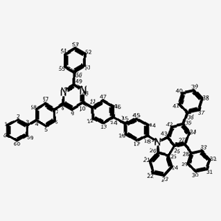 c1ccc(-c2ccc(-c3cc(-c4ccc(-c5ccc(-n6c7ccccc7c7c(-c8ccccc8)cc(-c8ccccc8)cc76)cc5)cc4)nc(-c4ccccc4)n3)cc2)cc1